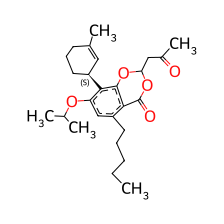 CCCCCc1cc(OC(C)C)c([C@@H]2C=C(C)CCC2)c2c1C(=O)OC(CC(C)=O)O2